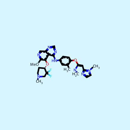 C=N/C(=C\c1nccn1C)Oc1ccc(Nc2ncnc3cnc(OC)c(O[C@H]4CCN(C)CC4(F)F)c23)cc1C